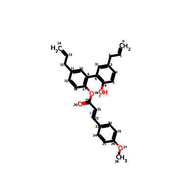 C=CCc1ccc(O)c(-c2cc(CC=C)ccc2OC(=O)/C=C/c2ccc(OC)cc2)c1